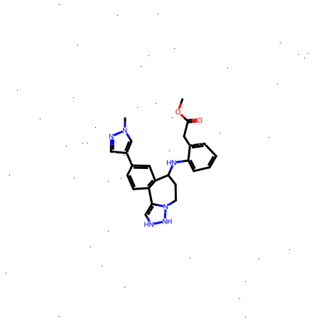 COC(=O)Cc1ccccc1NC1CCN2NNC=C2c2ccc(-c3cnn(C)c3)cc21